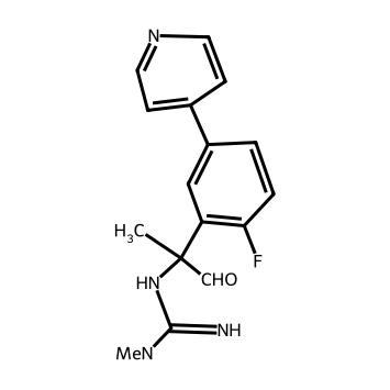 CNC(=N)NC(C)(C=O)c1cc(-c2ccncc2)ccc1F